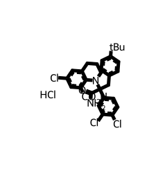 CC(C)(C)c1ccc(CC(C(N)=O)(c2ccc(Cl)c(Cl)c2)N2CCCc3cc(Cl)cc(C(=O)O)c32)cc1.Cl